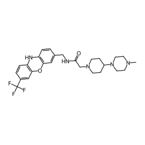 CN1CCN(C2CCN(CC(=O)NCc3ccc4c(c3)Oc3cc(C(F)(F)F)ccc3N4)CC2)CC1